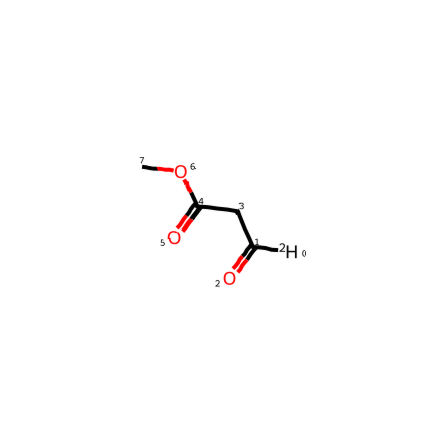 [2H]C(=O)CC(=O)OC